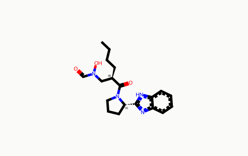 CCCC[C@H](CN(O)C=O)C(=O)N1CCC[C@H]1c1nc2c[c]ccc2[nH]1